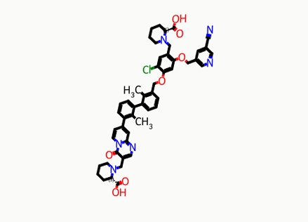 Cc1c(COc2cc(OCc3cncc(C#N)c3)c(CN3CCCC[C@H]3C(=O)O)cc2Cl)cccc1-c1cccc(-c2ccn3c(=O)c(CN4CCCC[C@H]4C(=O)O)cnc3c2)c1C